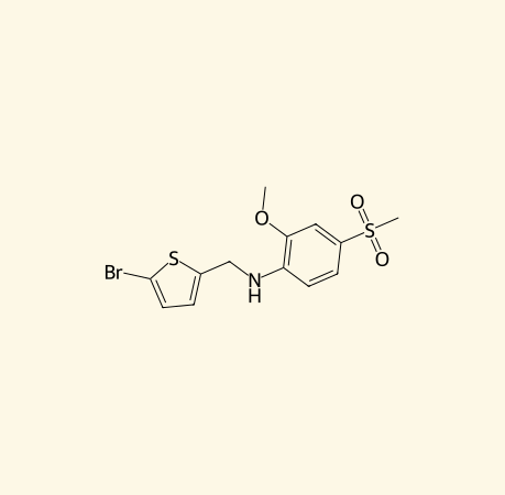 COc1cc(S(C)(=O)=O)ccc1NCc1ccc(Br)s1